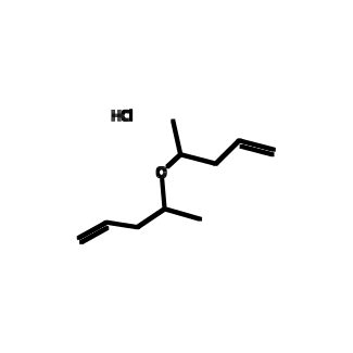 C=CCC(C)OC(C)CC=C.Cl